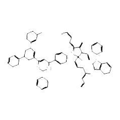 C=C/C=C(/C/C=C\C1(C)C(C=C)C(=C)/C(=C\C=C/C)N1[C@H]1C=CC(C2C=C(C3=C[C@H](C4=CC(C)CCC4)CC(C4=CC=CCC4)C3)N[C@@H](C3C=CC=CC3)N2)=CC1)C[C@@H]1CN([C@H]2C=CC=CC2)C2=C1CCC=C2